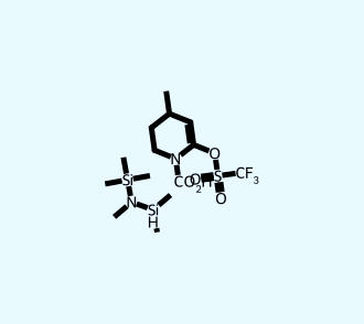 CC1C=C(OS(=O)(=O)C(F)(F)F)N(C(=O)O)CC1.CN([SiH](C)C)[Si](C)(C)C